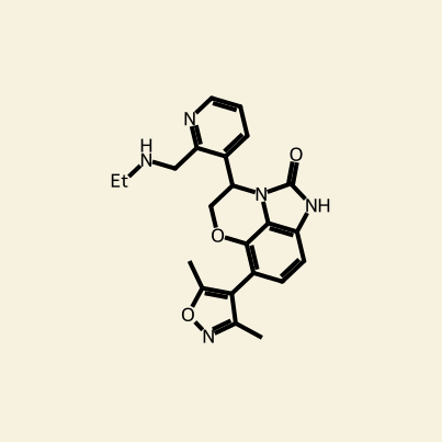 CCNCc1ncccc1C1COc2c(-c3c(C)noc3C)ccc3[nH]c(=O)n1c23